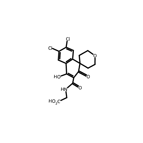 O=C(O)CNC(=O)C1=C(O)c2cc(Cl)c(Cl)cc2C2(CCOCC2)C1=O